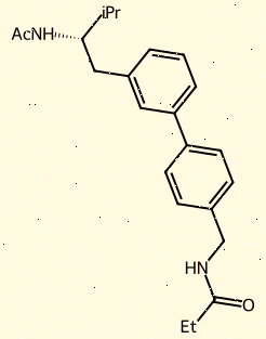 CCC(=O)NCc1ccc(-c2cccc(C[C@H](NC(C)=O)C(C)C)c2)cc1